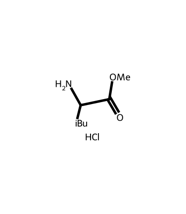 CCC(C)C(N)C(=O)OC.Cl